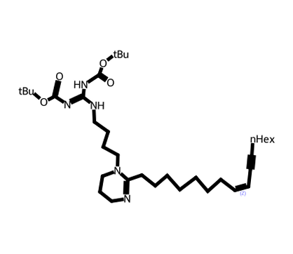 CCCCCCC#C/C=C\CCCCCCCC1=NCCCN1CCCCNC(=NC(=O)OC(C)(C)C)NC(=O)OC(C)(C)C